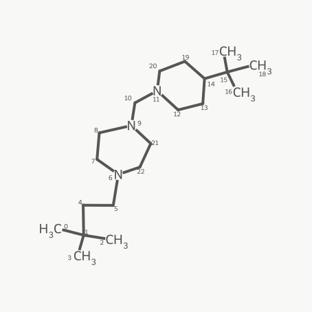 CC(C)(C)CCN1CCN(CN2CCC(C(C)(C)C)CC2)CC1